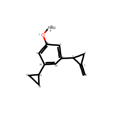 C=C1CC1c1cc(OCCCC)cc(C2CC2)c1